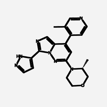 Cc1cnccc1-c1cc(N2CCOC[C@H]2C)nn2c(-c3ccn[nH]3)ncc12